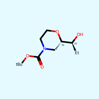 CC[C@H](O)[C@@H]1CN(C(=O)OC(C)(C)C)CCO1